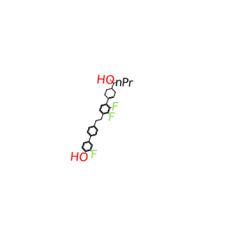 CCCC(O)C1CC=C(c2ccc(CCc3ccc(-c4ccc(O)c(F)c4)cc3)c(F)c2F)CC1